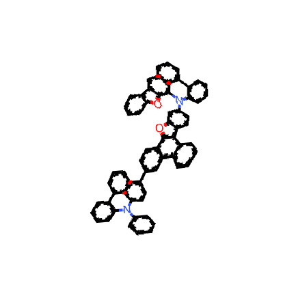 c1ccc(-c2ccccc2N(c2ccccc2)c2ccc(-c3ccc4c(c3)c3ccccc3c3c5ccc(N(c6ccccc6-c6ccccc6)c6cccc7c6oc6ccccc67)cc5oc43)cc2)cc1